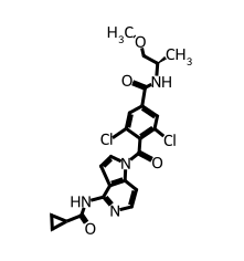 COC[C@@H](C)NC(=O)c1cc(Cl)c(C(=O)n2ccc3c(NC(=O)C4CC4)nccc32)c(Cl)c1